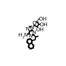 CC(Cc1cccc2ccccc12)c1nc(N)c2ncn([C@@H]3O[C@H](CO)C(O)C3O)c2n1